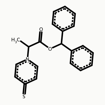 CC(C(=O)OC(c1ccccc1)c1ccccc1)n1ccc(=S)cc1